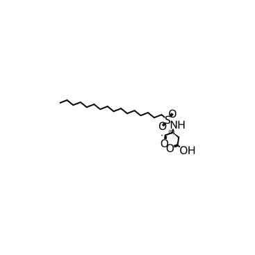 CCCCCCCCCCCCCCCCS(=O)(=O)N[C@H]([C]=O)CC(=O)O